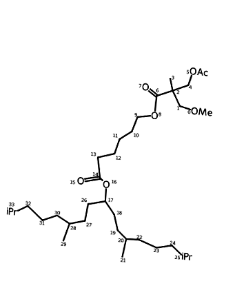 COCC(C)(COC(C)=O)C(=O)OCCCCCC(=O)OC(CCC(C)CCCC(C)C)CCC(C)CCCC(C)C